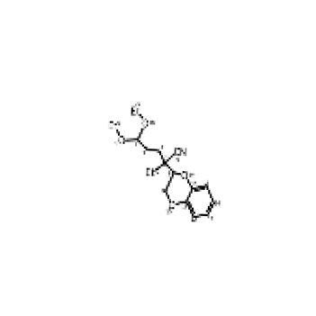 CCOC(CCC(C#N)(CC)C1COc2ccccc2O1)OCC